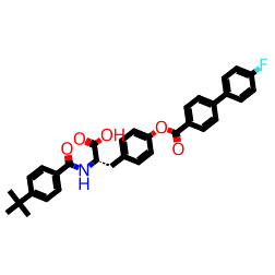 CC(C)(C)c1ccc(C(=O)N[C@@H](Cc2ccc(OC(=O)c3ccc(-c4ccc(F)cc4)cc3)cc2)C(=O)O)cc1